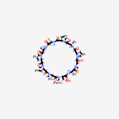 CCC[C@@H](C)[C@@H](O)[C@H]1C(=O)N[C@@H](CC)C(=O)N(C)CC(O)N(C)[C@@H](CC(C)C)C(=O)N[C@@H](C(C)C)C(=O)N(C)[C@@H](CC(C)C)C(=O)N[C@@H](C)C(=O)N[C@H](C)C(=O)N(C)[C@@H](CC(C)C)C(=O)N(C)[C@@H](CC(C)C)C(=O)N(C)[C@@H](C(C)C)C(=O)N1C